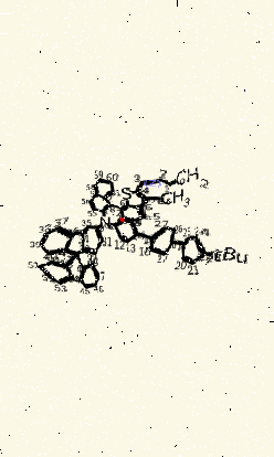 C=C/C=C\c1sc2c(-c3c(N(c4ccc(-c5ccc(-c6ccc(C(C)(C)C)cc6)cc5)cc4)c4ccc5c(c4)-c4ccccc4C5(c4ccccc4)c4ccccc4)ccc4ccccc34)cccc2c1C